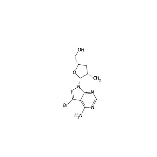 C[C@H]1C[C@@H](CO)O[C@H]1n1cc(Br)c2c(N)ncnc21